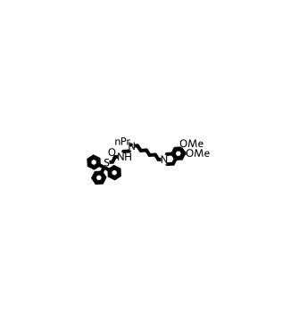 CCCN(CCCCCCN1CCc2cc(OC)c(OC)cc2C1)CCNC(=O)CSC(c1ccccc1)(c1ccccc1)c1ccccc1